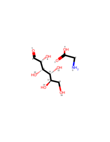 NCC(=O)O.O=C[C@H](O)[C@@H](O)[C@H](O)[C@H](O)CO